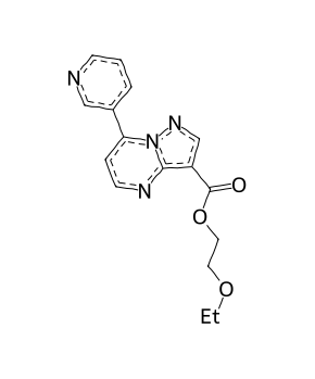 CCOCCOC(=O)c1cnn2c(-c3cccnc3)ccnc12